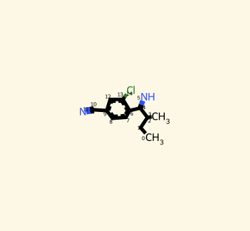 CCC(C)C(=N)c1ccc(C#N)cc1Cl